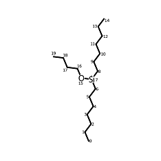 CCCCCCC[Si](CCCCCCC)OCCCC